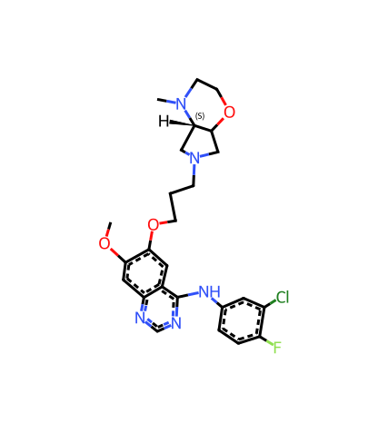 COc1cc2ncnc(Nc3ccc(F)c(Cl)c3)c2cc1OCCCN1CC2OCCN(C)[C@H]2C1